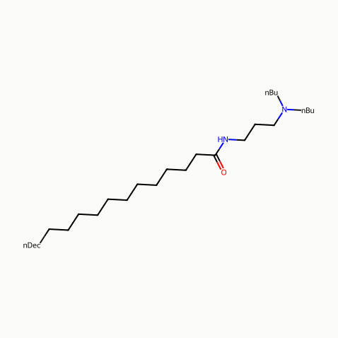 CCCCCCCCCCCCCCCCCCCCCC(=O)NCCCN(CCCC)CCCC